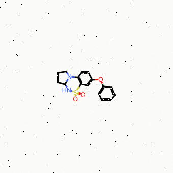 O=S1(=O)NC2CCCN2c2ccc(Oc3cc[c]cc3)cc21